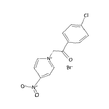 O=C(C[n+]1ccc([N+](=O)[O-])cc1)c1ccc(Cl)cc1.[Br-]